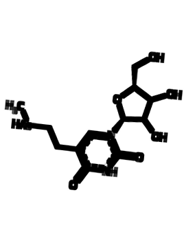 C[AsH]CCc1cn([C@H]2O[C@@H](CO)C(O)C2O)c(=O)[nH]c1=O